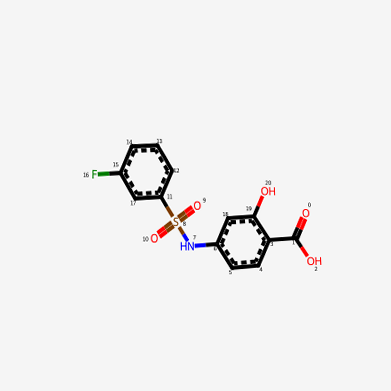 O=C(O)c1ccc(NS(=O)(=O)c2cccc(F)c2)cc1O